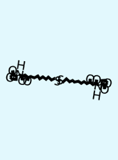 O=C(CCCCCCCCCSSCCCCCCCCCC(=O)CC(=O)N[C@H]1CCOC1=O)CC(=O)N[C@H]1CCOC1=O